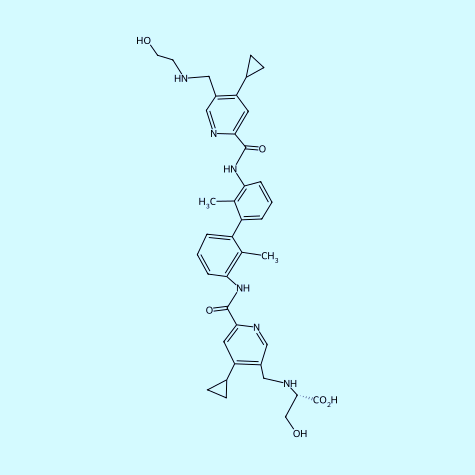 Cc1c(NC(=O)c2cc(C3CC3)c(CNCCO)cn2)cccc1-c1cccc(NC(=O)c2cc(C3CC3)c(CN[C@@H](CO)C(=O)O)cn2)c1C